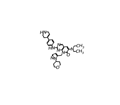 CCN(CC)c1cc2cnc(Nc3ccc(C4=CCNCC4)cc3)nc2n(Cc2ccnn2C2CCOCC2)c1=O